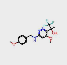 COc1ccc(CNc2cc(OC)c(C(C)(O)C(F)(F)F)nn2)cc1